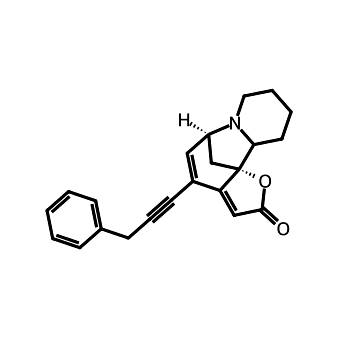 O=C1C=C2C(C#CCc3ccccc3)=C[C@@H]3C[C@@]2(O1)C1CCCCN13